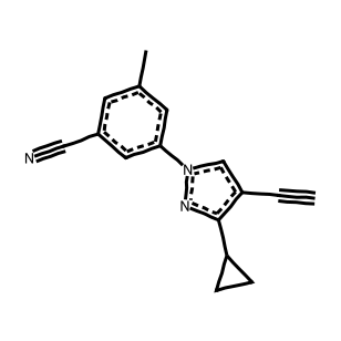 C#Cc1cn(-c2cc(C)cc(C#N)c2)nc1C1CC1